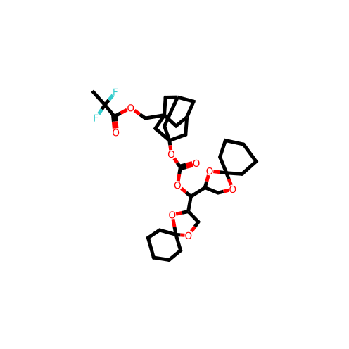 CC(F)(F)C(=O)OCC12CC3CC(C1)CC(OC(=O)OC(C1COC4(CCCCC4)O1)C1COC4(CCCCC4)O1)(C3)C2